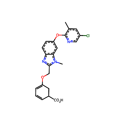 Cc1cc(Cl)cnc1Oc1ccc2nc(COC3=CC=CC(C(=O)O)C3)n(C)c2c1